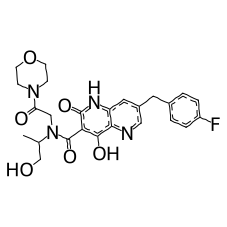 CC(CO)N(CC(=O)N1CCOCC1)C(=O)c1c(O)c2ncc(Cc3ccc(F)cc3)cc2[nH]c1=O